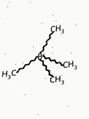 CCCCCCCCC[B-](CCCCCCCCC)(CCCCCCCCC)CCCCCCCCC